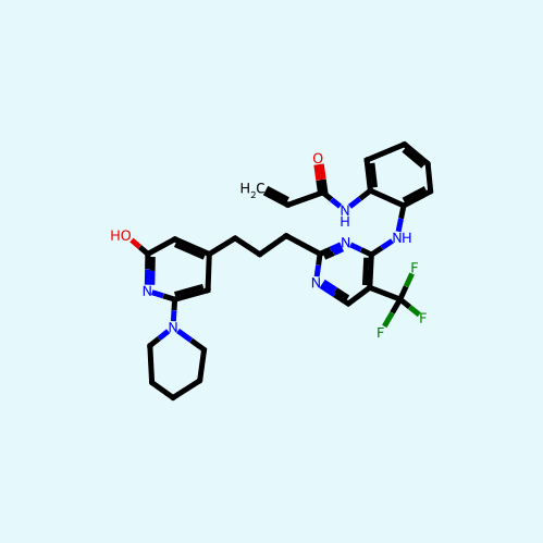 C=CC(=O)Nc1ccccc1Nc1nc(CCCc2cc(O)nc(N3CCCCC3)c2)ncc1C(F)(F)F